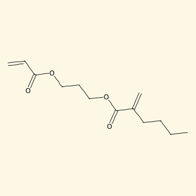 C=CC(=O)OCCCOC(=O)C(=C)CCCC